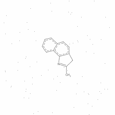 CC1=Nc2c(ccc3ccccc23)C1